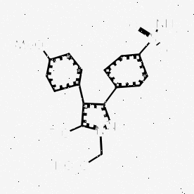 COc1ccc(-c2c(-c3ccc(S(N)(=O)=O)cc3)nn(CC(=O)O)c2C(F)(F)F)cc1